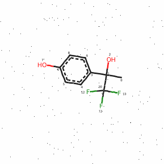 CC(O)(c1ccc(O)cc1)C(F)(F)F